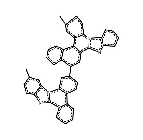 Cc1ccc2c(c1)c1c3ccccc3c(-c3ccc4c5ccccc5c5nc6ccc(C)cc6n5c4c3)cc1c1nc3ccccc3n21